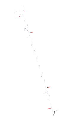 C=C(C)C(=O)OCCNC(=O)OCCCCCCCCCCCOC(=O)NCCC[Si](OC)(OC)OC